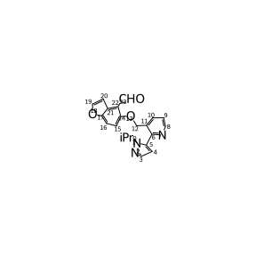 CC(C)n1nccc1-c1ncccc1COc1ccc2occc2c1C=O